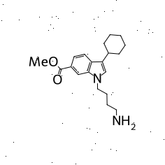 COC(=O)c1ccc2c(C3CCCCC3)cn(CCCCN)c2c1